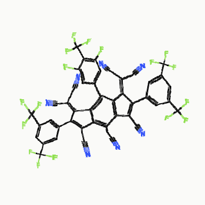 N#CC(C#N)=C1C(c2cc(C(F)(F)F)cc(C(F)(F)F)c2)=C(C#N)c2c(C#N)c3c(c(-c4cc(F)c(C(F)(F)F)c(F)c4)c21)C(=C(C#N)C#N)C(c1cc(C(F)(F)F)cc(C(F)(F)F)c1)=C3C#N